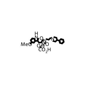 COc1ccc2[nH]cc(CC3C(=O)N(CCCN4CCC(c5ccccc5)CC4)C(=O)N3OC(=O)C(=O)O)c2c1